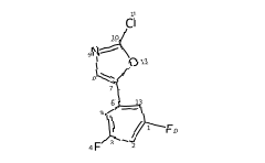 Fc1cc(F)cc(-c2cnc(Cl)o2)c1